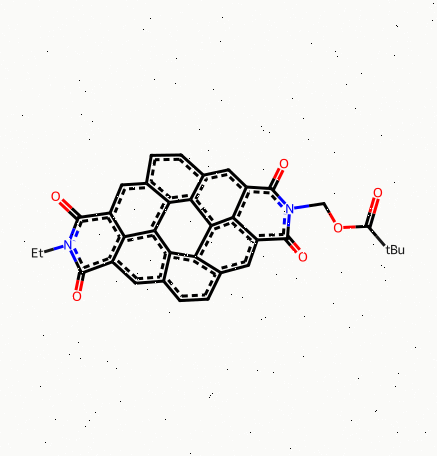 CCn1c(=O)c2cc3ccc4cc5c(=O)n(COC(=O)C(C)(C)C)c(=O)c6cc7ccc8cc(c1=O)c2c1c3c4c(c56)c7c81